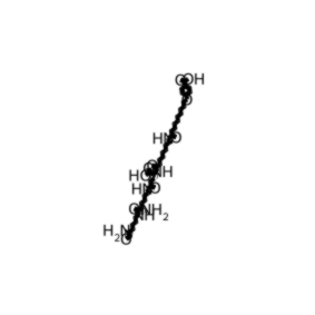 N[C@H](C=O)CCCCNC(=O)[C@@H](N)CCCCNC(=O)CC[C@H](NC(=O)CCCCCCCNC(=O)CCCCCCCCCOc1ccc(C(=O)O)cc1)C(=O)O